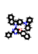 C1=CC2=Cc3c(oc4c(-n5c6cc(-n7c8ccccc8c8ccccc87)ccc6c6c7ccccc7ccc65)nc(-c5ccccc5)nc34)CC2C=C1